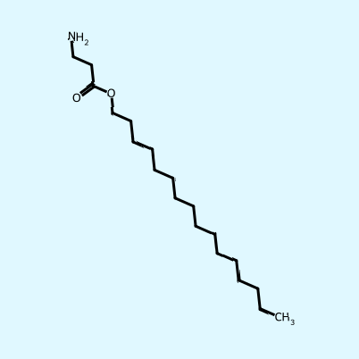 CCCCCCCCCCCCCCCCOC(=O)CCN